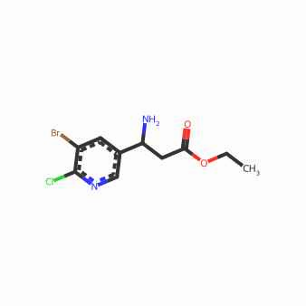 CCOC(=O)CC(N)c1cnc(Cl)c(Br)c1